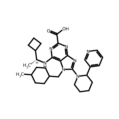 CC1CCC(Cn2c(N3CCCCC3c3cccnc3)nc3nc(C(=O)O)nc(N[C@H](C)C4CCC4)c32)CC1